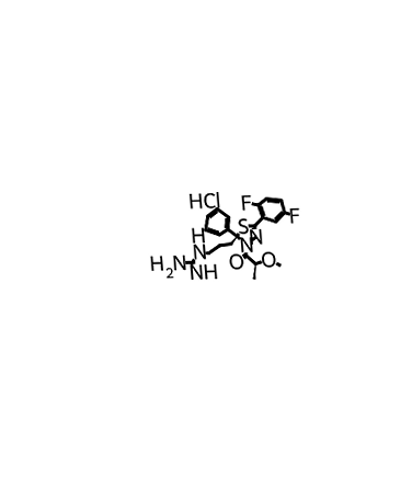 CO[C@@H](C)C(=O)N1N=C(c2cc(F)ccc2F)S[C@@]1(CCCNC(=N)N)c1ccccc1.Cl